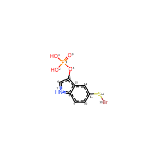 O=P(O)(O)Oc1c[nH]c2ccc(SBr)cc12